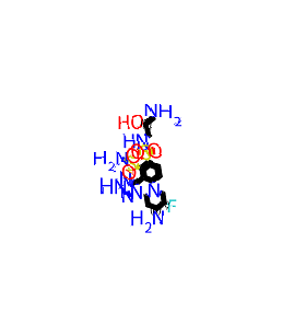 NC[C@@H](O)CNS(=O)(=O)c1ccc(N2CC[C@@H](N)[C@H](F)C2)c(-c2nn[nH]n2)c1S(N)(=O)=O